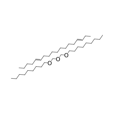 CC/C=C/CCCCCCCC/C=C/CCCC.CCCCCCCCCOCOCOCCCCCCCCC